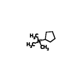 C[N+](C)(C)C1CCCC1